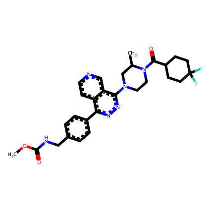 COC(=O)NCc1ccc(-c2nnc(N3CCN(C(=O)C4CCC(F)(F)CC4)C(C)C3)c3cnccc23)cc1